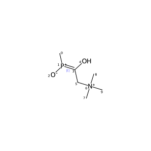 C/[P+]([O-])=C(\O)C[N+](C)(C)C